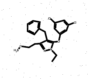 BOCCc1nn(CC)c(Oc2cc(Cl)cc(Cl)c2)c1Cc1ccccc1